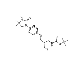 CC1(C)CN(c2ncc(OC/C(=C/F)CNC(=O)OC(C)(C)C)cn2)C(=O)N1